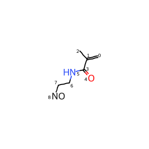 C=C(C)C(=O)NCCN=O